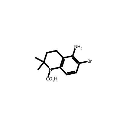 CC1(C)CCc2c(ccc(Br)c2N)N1C(=O)O